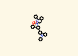 O=S1(=O)c2ccccc2-c2cc(-c3ccc4c(c3)c3ccccc3n4-c3ccccc3)ccc2N1C1=CCc2ccccc2C(c2ccccc2)=N1